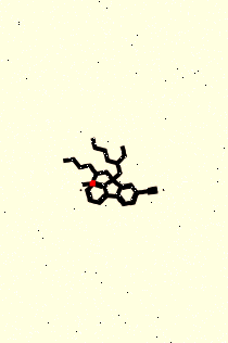 [C]#Cc1ccc2c(c1)C(CC(CC)CCCC)(CC(CC)CCCC)c1c[c]ccc1-2